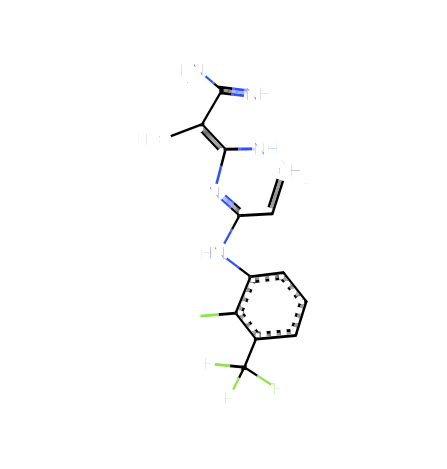 C=C/C(=N\C(N)=C(/C)C(=N)N)Nc1cccc(C(F)(F)F)c1F